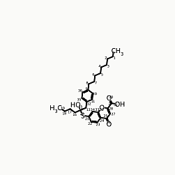 CCCCCCCCCc1ccc(C[C@@](O)(CCCC)Sc2ccc3c(=O)cc(C(=O)O)oc3c2)cc1